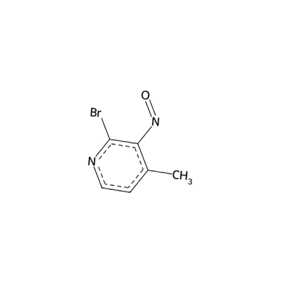 Cc1ccnc(Br)c1N=O